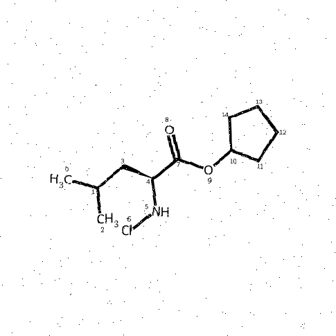 CC(C)C[C@H](NCl)C(=O)OC1CCCC1